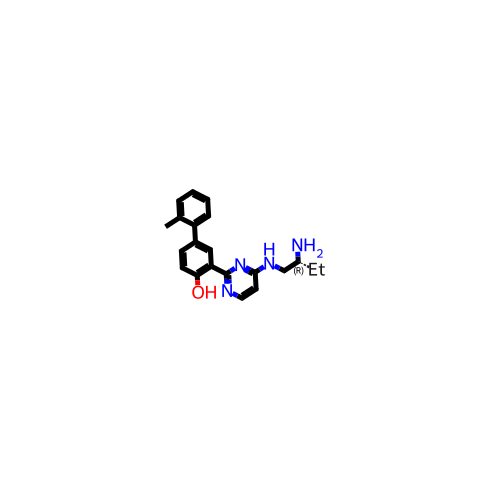 CC[C@@H](N)CNc1ccnc(-c2cc(-c3ccccc3C)ccc2O)n1